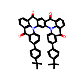 CC(C)(C)c1ccc(-c2ccc3c(c2)c(=O)c2cccc4c(=O)c5cc6c(=O)c7cccc8c(=O)c9cc(-c%10ccc(C(C)(C)C)cc%10)ccc9n(c6cc5n3c24)c87)cc1